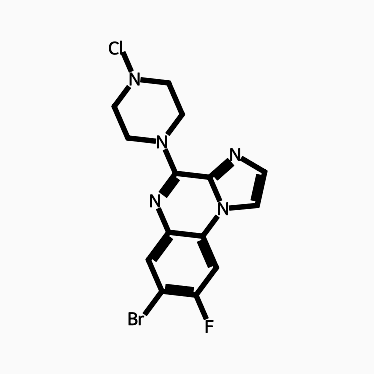 Fc1cc2c(cc1Br)nc(N1CCN(Cl)CC1)c1nccn12